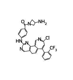 NC1CN(C(=O)c2ccc(Nc3ncc4c(n3)C3=CN=C(Cl)C=C(c5ccccc5C(F)(F)F)C3=CC4)cc2)C1